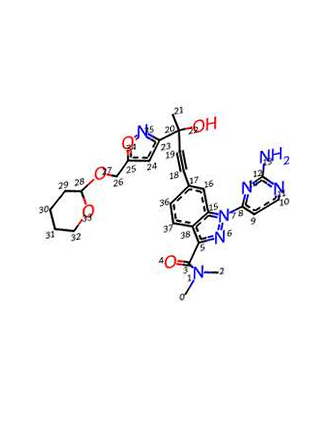 CN(C)C(=O)c1nn(-c2ccnc(N)n2)c2cc(C#CC(C)(O)c3cc(COC4CCCCO4)on3)ccc12